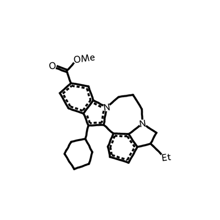 CCC1CN2CCCn3c(c(C4CCCCC4)c4ccc(C(=O)OC)cc43)-c3cccc1c32